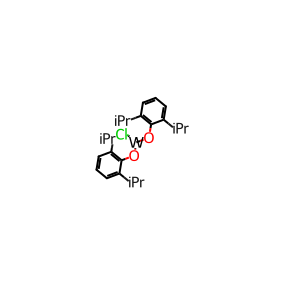 CC(C)c1cccc(C(C)C)c1[O][W]([Cl])[O]c1c(C(C)C)cccc1C(C)C